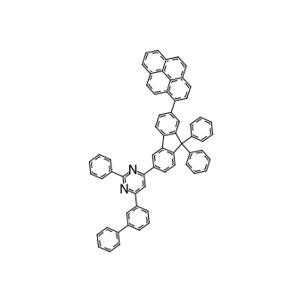 c1ccc(-c2cccc(-c3cc(-c4ccc5c(c4)-c4ccc(-c6ccc7ccc8cccc9ccc6c7c89)cc4C5(c4ccccc4)c4ccccc4)nc(-c4ccccc4)n3)c2)cc1